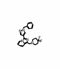 FC1(F)CCN(Cc2nc(-c3cnn(Cc4ccccc4)c3)n3ccccc23)CC1